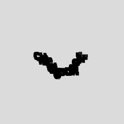 CCn1cc(-n2ccc(=O)c(COc3ccc4ncc(OCC(F)F)cc4c3)n2)cn1